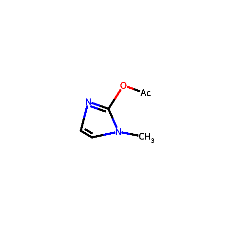 CC(=O)Oc1nccn1C